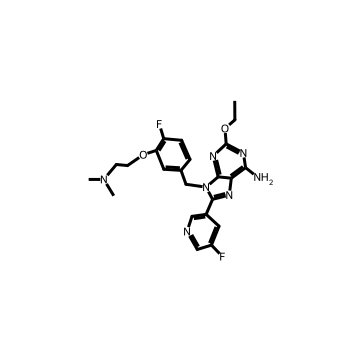 CCOc1nc(N)c2nc(-c3cncc(F)c3)n(Cc3ccc(F)c(OCCN(C)C)c3)c2n1